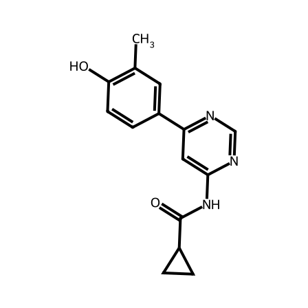 Cc1cc(-c2cc(NC(=O)C3CC3)ncn2)ccc1O